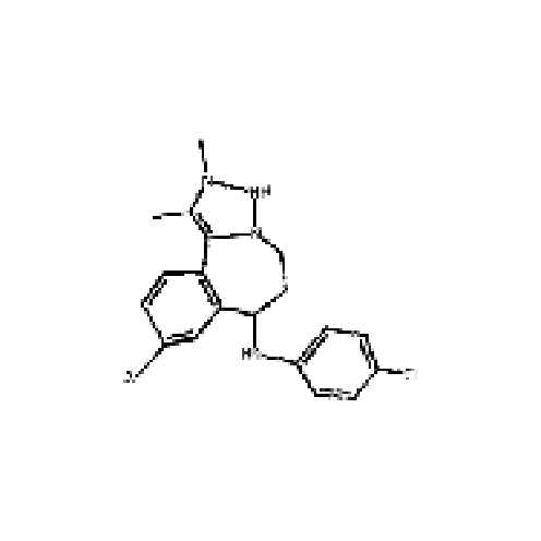 CC1=C2c3ccc(Br)cc3C(Nc3ccc(Cl)cc3)CCN2NN1C